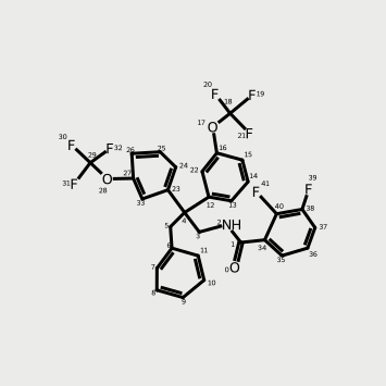 O=C(NCC(Cc1ccccc1)(c1cccc(OC(F)(F)F)c1)c1cccc(OC(F)(F)F)c1)c1cccc(F)c1F